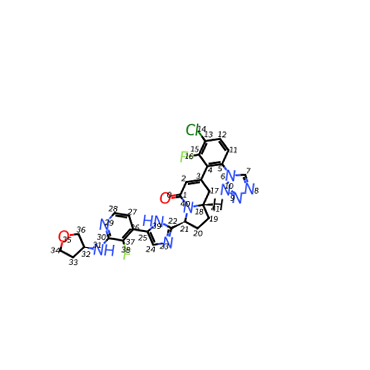 O=C1C=C(c2c(-n3cnnn3)ccc(Cl)c2F)C[C@@H]2CC[C@@H](c3ncc(-c4ccnc(N[C@H]5CCOC5)c4F)[nH]3)N12